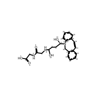 O=C(O)CNC(=O)CNC(O)CC[C@@H](O)N1Cc2ccccc2/C=C\c2ccccc21